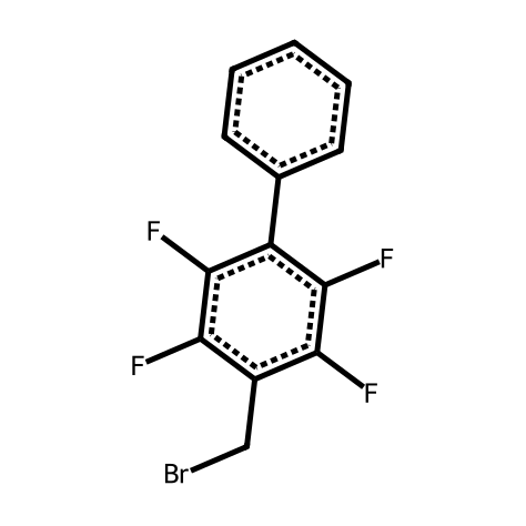 Fc1c(F)c(-c2ccccc2)c(F)c(F)c1CBr